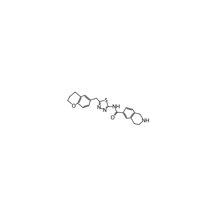 O=C(Nc1nnc(Cc2ccc3c(c2)CCCO3)s1)c1ccc2c(c1)CCNC2